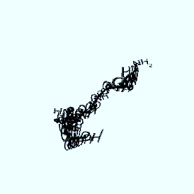 NCCNCCn1nnc2c1-c1ccccc1N(C(=O)CCNC(=O)CCOCCOCCNC(=O)CCN1C(=O)CC(SCC(NC(=O)CNC(=O)C(Cc3c[nH]c4ccccc34)NC(=O)C(Cc3c[nH]c4ccccc34)NC(=O)CNC(=O)C(Cc3ccccc3)NC(=O)NC(=O)CC[C@H](NC(=O)N[C@@H](CCC(=O)O)C(=O)O)C(=O)O)C(=O)O)C1=O)Cc1ccccc1-2